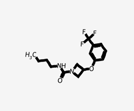 CCCCNC(=O)N1CC(Oc2cccc(C(F)(F)F)c2)C1